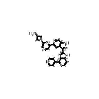 NC1CN(c2cncc(-c3cc4c(-c5nc6c(-c7ccncc7)nccc6[nH]5)n[nH]c4cn3)n2)C1